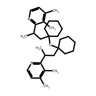 Cc1ccnc(C(C)CC2(OC3(CC(C)c4nccc(C)c4C)CCCCC3)CCCCC2)c1C